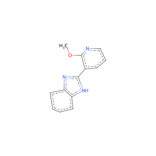 COc1ncccc1-c1nc2ccccc2[nH]1